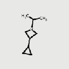 CC(C)N1CC(C2CC2)C1